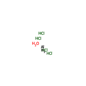 Cl.Cl.Cl.Cl.O.[AlH3]